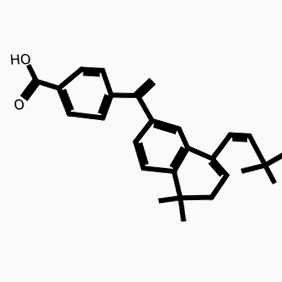 C=C(c1ccc(C(=O)O)cc1)c1ccc2c(c1)C(/C=C\C(C)(C)C)=CCC2(C)C